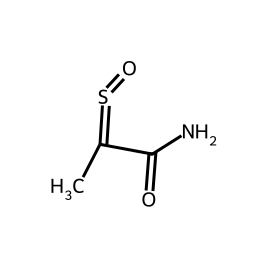 CC(=S=O)C(N)=O